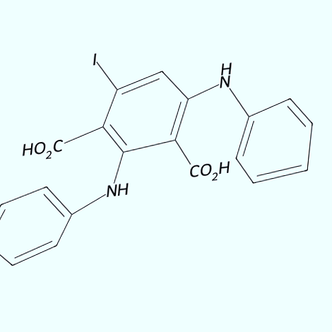 O=C(O)c1c(I)cc(Nc2ccccc2)c(C(=O)O)c1Nc1ccccc1